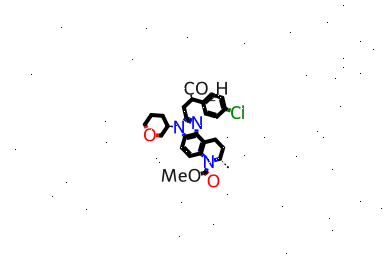 COC(=O)N1c2ccc3c(nc(C[C@H](C(=O)O)c4ccc(Cl)cc4)n3[C@H]3CCCOC3)c2CC[C@@H]1C